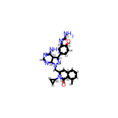 Cc1cccc2cc(CN3N=C(c4ccc5oc(N)nc5c4)C4C(N)=NC=NC43)n(C3CC3)c(=O)c12